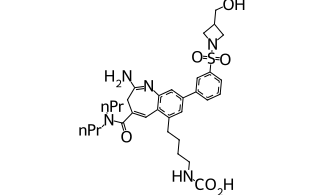 CCCN(CCC)C(=O)C1=Cc2c(CCCCNC(=O)O)cc(-c3cccc(S(=O)(=O)N4CC(CO)C4)c3)cc2N=C(N)C1